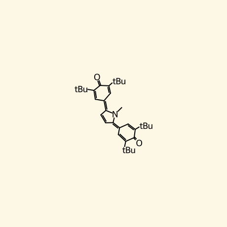 Cn1c(=C2C=C(C(C)(C)C)C(=O)C(C(C)(C)C)=C2)ccc1=C1C=C(C(C)(C)C)C(=O)C(C(C)(C)C)=C1